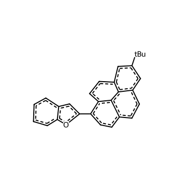 CC(C)(C)c1cc2ccc3ccc(-c4cc5ccccc5o4)c4ccc(c1)c2c34